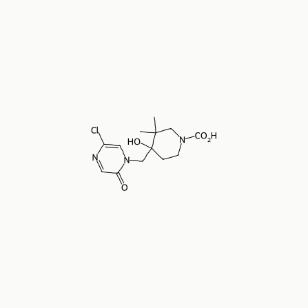 CC1(C)CN(C(=O)O)CCC1(O)Cn1cc(Cl)ncc1=O